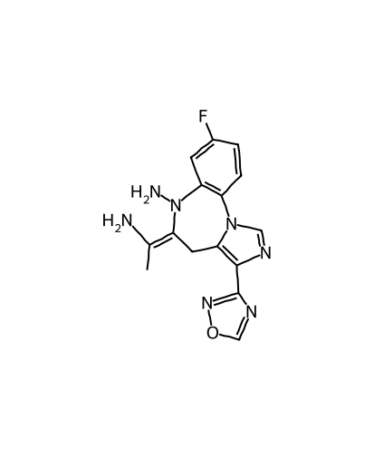 C/C(N)=C1\Cc2c(-c3ncon3)ncn2-c2ccc(F)cc2N1N